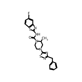 CC1CN(c2nc(Cc3ccccc3)ns2)CCN1C(=O)Nc1nc2cc(F)ccc2s1